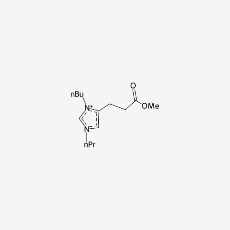 CCCC[n+]1cn(CCC)cc1CCC(=O)OC